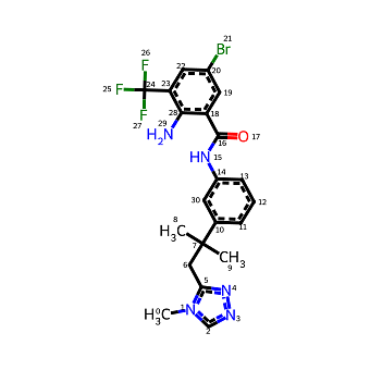 Cn1cnnc1CC(C)(C)c1cccc(NC(=O)c2cc(Br)cc(C(F)(F)F)c2N)c1